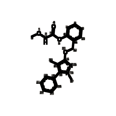 CONC(=O)Oc1ccccc1COc1nn(C)c(-c2ccccc2)c1C